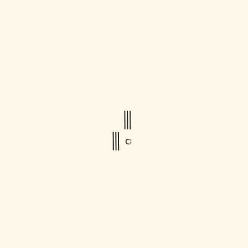 C#C.C#C.[C]